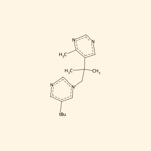 Cc1ncncc1C(C)(C)C[n+]1cncc(C(C)(C)C)c1